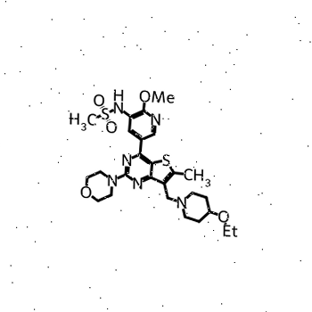 CCOC1CCN(Cc2c(C)sc3c(-c4cnc(OC)c(NS(C)(=O)=O)c4)nc(N4CCOCC4)nc23)CC1